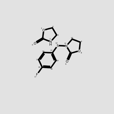 O=C1NCCO1.O=C1OCCN1Sc1ccc(F)cc1